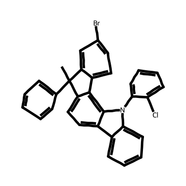 CC1(c2ccccc2)c2cc(Br)ccc2-c2c1ccc1c3ccccc3n(-c3ccccc3Cl)c21